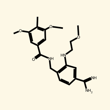 COCCNc1cc(C(=N)N)ccc1CNC(=O)c1cc(OC)c(C)c(OC)c1